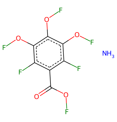 N.O=C(OF)c1c(F)c(OF)c(OF)c(OF)c1F